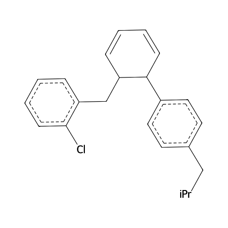 CC(C)Cc1ccc(C2C=CC=CC2Cc2ccccc2Cl)cc1